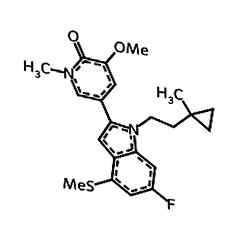 COc1cc(-c2cc3c(SC)cc(F)cc3n2CCC2(C)CC2)cn(C)c1=O